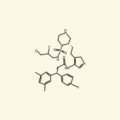 Cc1cc(F)cc([C@@H](CC(=O)NC2=C(CC[C@H]3CNCCN3S(=O)(=O)NCC(F)CCl)CN=C2)c2ccc(F)cc2)c1